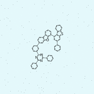 c1ccc(-c2cc(-c3cccc4c3oc3cc(-c5cccc(-c6nc(-c7ccccc7)nc(-c7ccccc7)n6)c5)ccc34)c3c(c2)sc2ccccc23)cc1